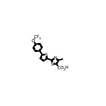 Cc1nc(-c2ccc(-c3ccc(OC(F)(F)F)cc3)s2)sc1C(=O)O